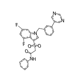 O=C(CS(=O)(=O)c1cn(Cc2cccc(-c3cncnc3)c2)c2cc(F)cc(F)c12)Nc1ccccc1